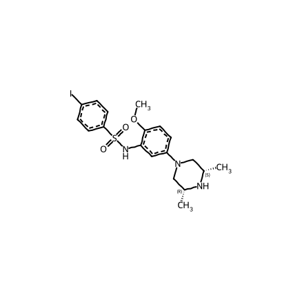 COc1ccc(N2C[C@@H](C)N[C@@H](C)C2)cc1NS(=O)(=O)c1ccc(I)cc1